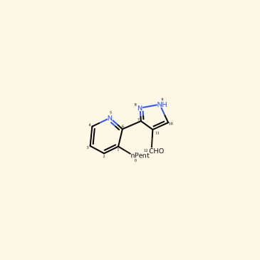 CCCCCc1cccnc1-c1n[nH]cc1C=O